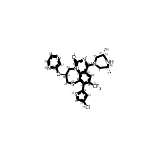 C[C@@H]1CN(c2nc(=O)n3c4c(c(-c5cc(Cl)cs5)c(C(F)(F)F)cc24)SC[C@@H](Oc2cnccn2)C3)C[C@H](C)N1